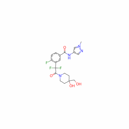 Cn1cc(NC(=O)c2ccc(F)c(C(F)(F)C(=O)N3CCC(O)(CO)CC3)c2)cn1